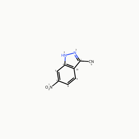 N#Cc1n[nH]c2cc([N+](=O)[O-])ccc12